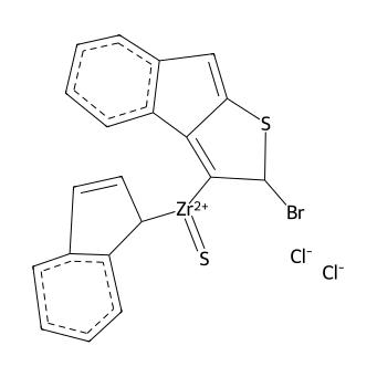 [Cl-].[Cl-].[S]=[Zr+2]([C]1=C2C(=Cc3ccccc32)SC1Br)[CH]1C=Cc2ccccc21